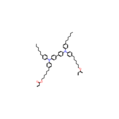 C=CC(=C)OCCCCCCc1ccc(N(c2ccc(CCCCCC)cc2)c2ccc(-c3ccc(N(c4ccc(CCCCCC)cc4)c4ccc(CCCCCCOC(=O)C=C)cc4)cc3)cc2)cc1